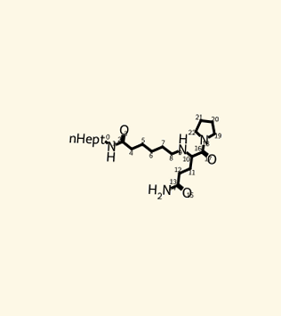 CCCCCCCNC(=O)CCCCCNC(CCC(N)=O)C(=O)N1CCCC1